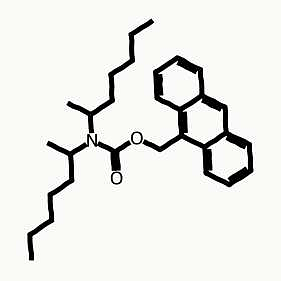 CCCCCC(C)N(C(=O)OCc1c2ccccc2cc2ccccc12)C(C)CCCCC